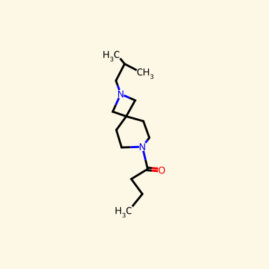 CCCC(=O)N1CCC2(CC1)CN(CC(C)C)C2